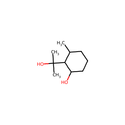 CC1CCCC(O)C1C(C)(C)O